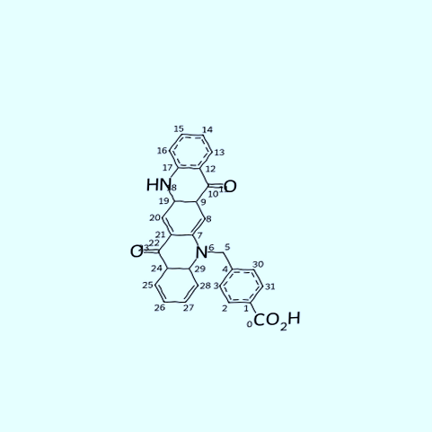 O=C(O)c1ccc(CN2C3=CC4C(=O)c5ccccc5NC4C=C3C(=O)C3C=CC=CC32)cc1